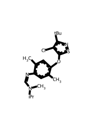 Cc1cc(Oc2snc(C(C)(C)C)c2Cl)c(C)cc1/N=C\N(C)C(C)C